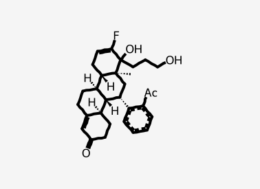 CC(=O)c1ccccc1[C@H]1C[C@@]2(C)[C@@H](CC=C(F)C2(O)CCCO)[C@@H]2CCC3=CC(=O)CC[C@@H]3[C@H]21